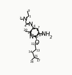 CCN(C)/C=N/c1cc(N)c(OCCCC(C)C)nc1C